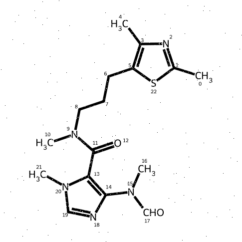 Cc1nc(C)c(CCCN(C)C(=O)c2c(N(C)C=O)ncn2C)s1